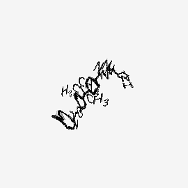 CC(C)C(C)(c1ccc(OCc2ncccn2)cc1)c1ccc(-c2nnn(CC3CCNC3)n2)cc1